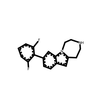 Fc1cccc(F)c1-c1ccc2cc3n(c2c1)CCNCC3